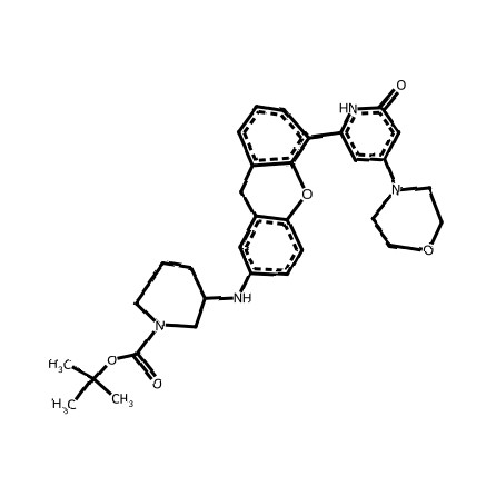 CC(C)(C)OC(=O)N1CCCC(Nc2ccc3c(c2)Cc2cccc(-c4cc(N5CCOCC5)cc(=O)[nH]4)c2O3)C1